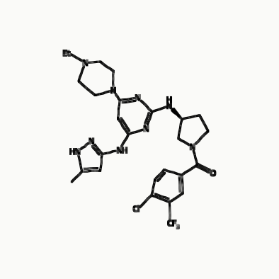 CCN1CCN(c2cc(Nc3cc(C)[nH]n3)nc(N[C@H]3CCN(C(=O)c4ccc(Cl)c(C(F)(F)F)c4)C3)n2)CC1